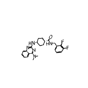 CN(C)c1nc(N[C@H]2CC[C@@H](C(=O)NCc3cccc(F)c3F)CC2)nc2ccccc12